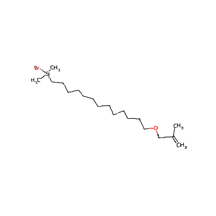 C=C(C)COCCCCCCCCCCCCC[Si](C)(C)Br